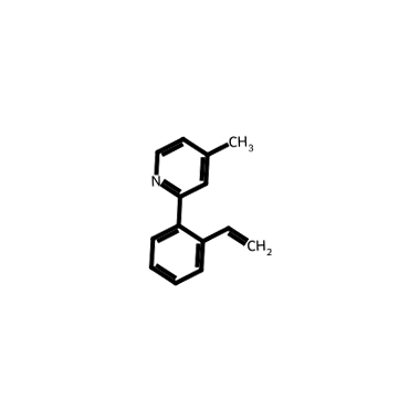 C=Cc1ccccc1-c1cc(C)ccn1